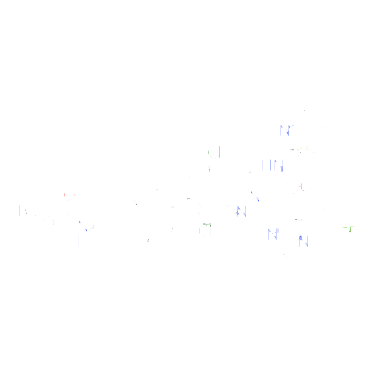 CC(C)(C)OC(=O)NCCc1ccc(-c2cc(Cl)c3cn(C(C(=O)Nc4nccs4)c4ncn5c4C[C@@H](F)C5)nc3c2Cl)cc1